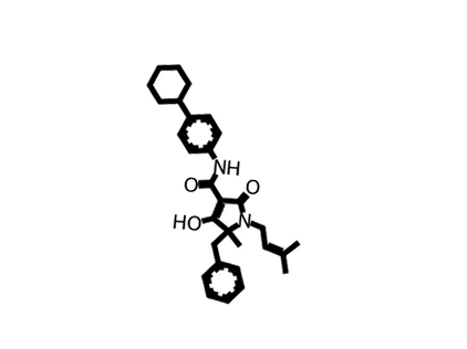 CC(C)=CCN1C(=O)C(C(=O)Nc2ccc(C3CCCCC3)cc2)=C(O)C1(C)Cc1ccccc1